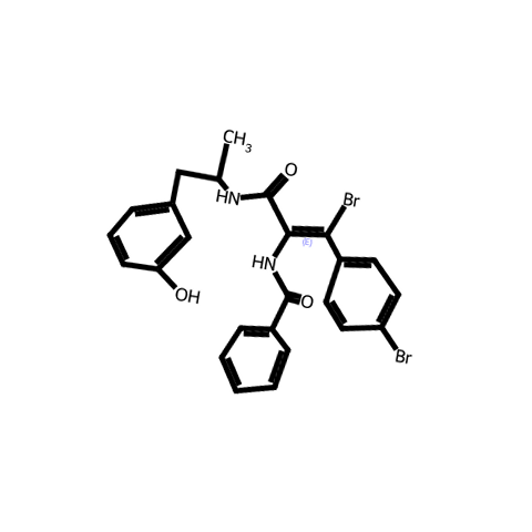 CC(Cc1cccc(O)c1)NC(=O)/C(NC(=O)c1ccccc1)=C(\Br)c1ccc(Br)cc1